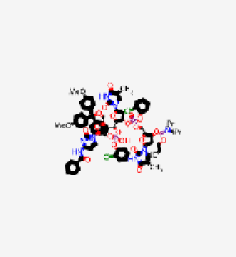 COc1ccc(C(OC[C@@H]2O[C@@H](n3ccc(NC(=O)c4ccccc4)nc3=O)C[C@@H]2C(OP(=O)(O)Oc2ccccc2Cl)[C@@H]2O[C@@H](n3cc(C)c(=O)[nH]c3=O)C[C@@H]2OP(=O)(OC[C@H]2OC(n3cc(C)c(=O)[nH]c3=O)CC2OP(OCCC#N)N(C(C)C)C(C)C)Oc2ccccc2Cl)(c2ccccc2)c2ccc(OC)cc2)cc1